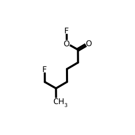 CC(CF)CCCC(=O)OF